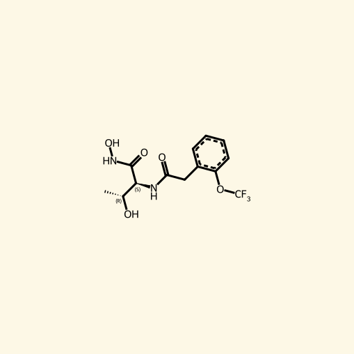 C[C@@H](O)[C@H](NC(=O)Cc1ccccc1OC(F)(F)F)C(=O)NO